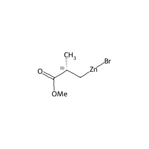 COC(=O)[C@H](C)[CH2][Zn][Br]